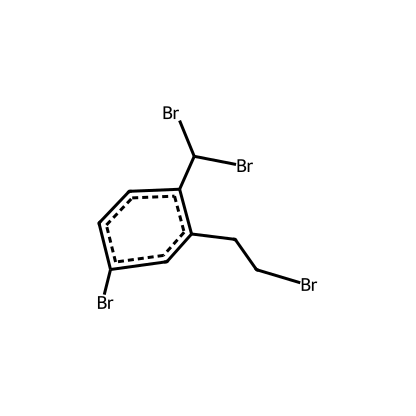 BrCCc1cc(Br)ccc1C(Br)Br